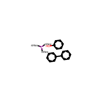 CCCCCCP(CCCCCC)CCCCCC.Oc1ccccc1.c1ccc(-c2ccccc2)cc1